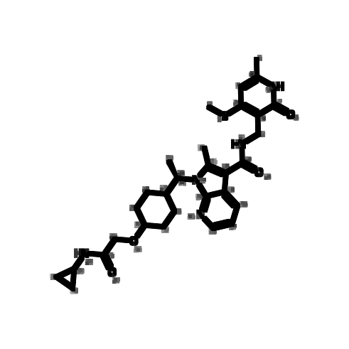 CSc1cc(C)[nH]c(=O)c1CNC(=O)c1c(C)n([C@H](C)C2CCC(OCC(=O)NC3CC3)CC2)c2ncccc12